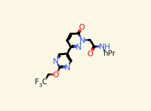 CCCNC(=O)Cn1nc(-c2cnc(OCC(F)(F)F)nc2)ccc1=O